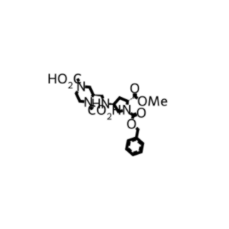 COC(=O)[C@H]1C[C@H](NC[C@@H]2CN(C(=O)O)CCN2C(=O)O)CN1C(=O)OCc1ccccc1